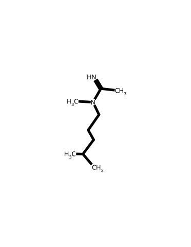 CC(=N)N(C)CCCC(C)C